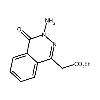 CCOC(=O)Cc1nn(N)c(=O)c2ccccc12